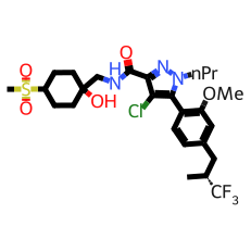 CCCn1nc(C(=O)NCC2(O)CCC(S(C)(=O)=O)CC2)c(Cl)c1-c1ccc(C[C@@H](C)C(F)(F)F)cc1OC